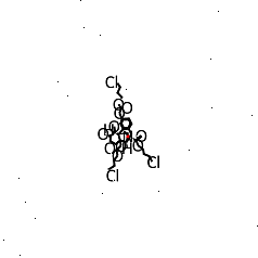 O=C(OCCCCl)Oc1ccc2c3c1O[C@H]1C(=O)CCC4(OC(=O)OCCCCl)[C@@H](C2)N(C(=O)OCCCCl)CC[C@]314